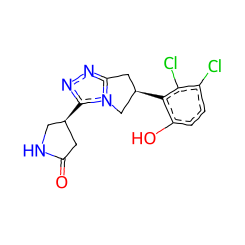 O=C1C[C@H](c2nnc3n2C[C@H](c2c(O)ccc(Cl)c2Cl)C3)CN1